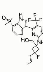 C/C=C/C1(F)CC(CO)(Nc2ncc(C(F)(F)F)c(-c3c[nH]c4c(P(C)(C)=O)cccc34)n2)C1